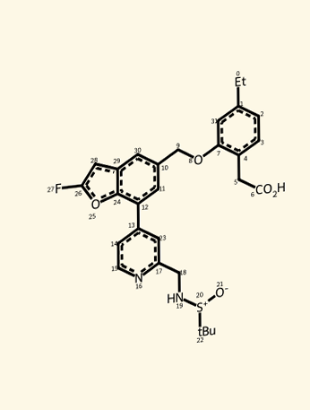 CCc1ccc(CC(=O)O)c(OCc2cc(-c3ccnc(CN[S+]([O-])C(C)(C)C)c3)c3oc(F)cc3c2)c1